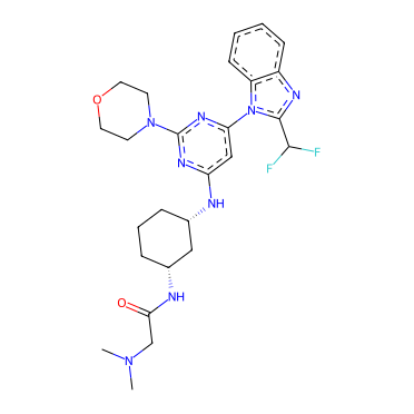 CN(C)CC(=O)N[C@@H]1CCC[C@H](Nc2cc(-n3c(C(F)F)nc4ccccc43)nc(N3CCOCC3)n2)C1